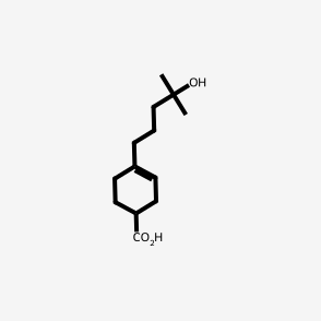 CC(C)(O)CCCC1=CCC(C(=O)O)CC1